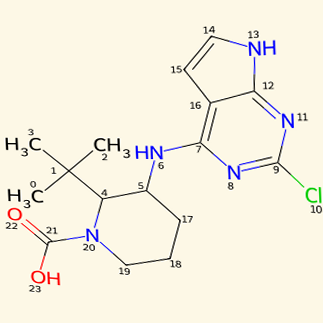 CC(C)(C)C1C(Nc2nc(Cl)nc3[nH]ccc23)CCCN1C(=O)O